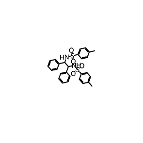 Cc1ccc(S(=O)(=O)NC(c2ccccc2)C(NS(=O)(=O)c2ccc(C)cc2)c2ccccc2)cc1